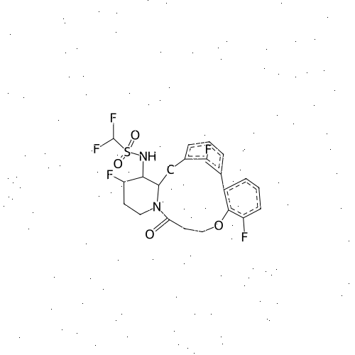 O=C1CCOc2c(F)cccc2-c2cccc(c2F)CC2C(NS(=O)(=O)C(F)F)C(F)CCN12